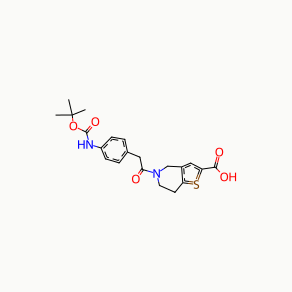 CC(C)(C)OC(=O)Nc1ccc(CC(=O)N2CCc3sc(C(=O)O)cc3C2)cc1